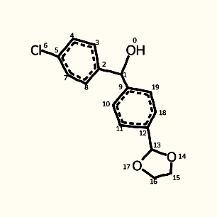 OC(c1ccc(Cl)cc1)c1ccc(C2OCCO2)cc1